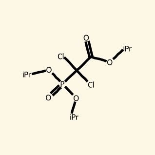 CC(C)OC(=O)C(Cl)(Cl)P(=O)(OC(C)C)OC(C)C